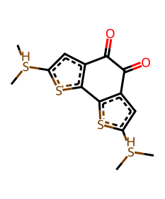 C[SH](C)c1cc2c(s1)-c1sc([SH](C)C)cc1C(=O)C2=O